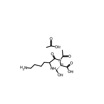 CC(=O)N(C(=O)C(N)CCCCN)[C@@H](CO)C(=O)O.CC(=O)O